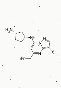 CC(C)Cc1cc(N[C@H]2CC[C@H](N)C2)n2ncc(Cl)c2n1